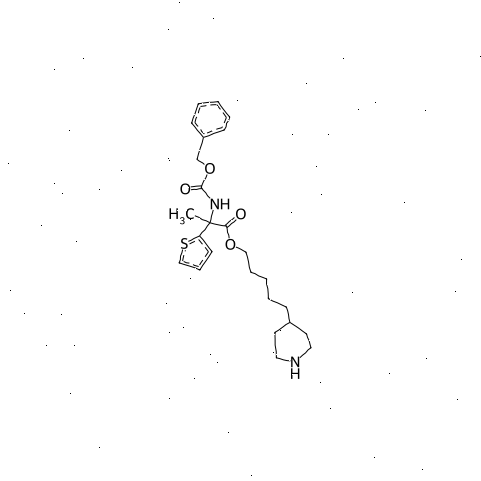 CC(NC(=O)OCc1ccccc1)(C(=O)OCCCCCC1CCNCC1)c1cccs1